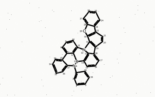 c1ccc(N2B3c4c(cccc4-n4c5c3cccc5c3ccc5c6ccccc6oc5c34)-c3ccccc32)cc1